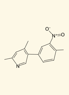 Cc1cc(C)c(-c2ccc(C)c([N+](=O)[O-])c2)cn1